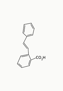 O=C(O)c1ccccc1C=Cc1ccccc1